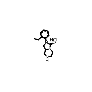 CCc1ccccc1N1CC2CNCCN2C1=O.Cl